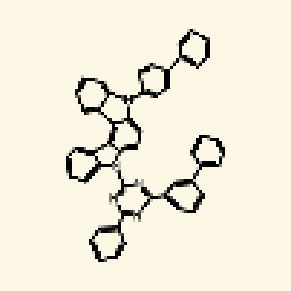 c1ccc(-c2ccc(-n3c4ccccc4c4c5c6ccccc6n(-c6nc(-c7ccccc7)nc(-c7cccc(-c8ccccc8)c7)n6)c5ccc43)cc2)cc1